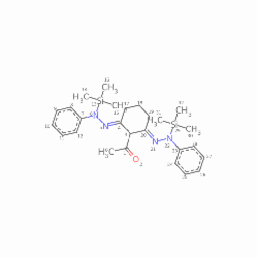 CC(=O)C1C(=NN(c2ccccc2)[Si](C)(C)C)CCCC1=NN(c1ccccc1)[Si](C)(C)C